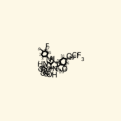 Cc1ccc(-n2nc3c(c2NC(=O)CS(C)(=O)=O)C(O)N[C@@]2(CCOc4cc(OCC(F)(F)F)ccc42)C3)cc1F